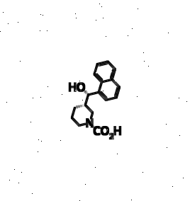 O=C(O)N1CCC[C@H]([C@H](O)c2cccc3ccccc23)C1